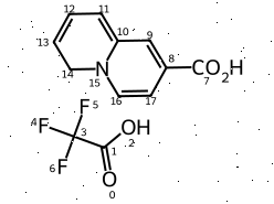 O=C(O)C(F)(F)F.O=C(O)C1=CC2=CC=CCN2C=C1